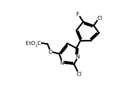 CCOC(=O)COc1cc(-c2ccc(Cl)c(F)c2)nc(Cl)n1